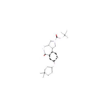 CC1(C)CCC(Oc2ccc3c(c2)C(=O)NCC2CN(C(=O)OC(C)(C)C)CC32)CC1